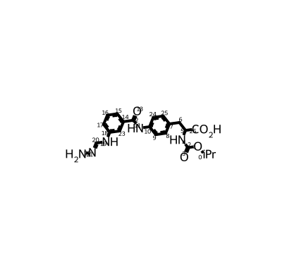 CC(C)OC(=O)NC(Cc1ccc(NC(=O)c2cccc(NC=NN)c2)cc1)C(=O)O